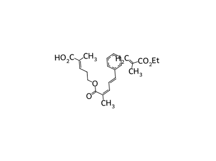 C=C(C)C(=O)OCC.CC(=CCCOC(=O)C(C)=CC=Cc1ccccc1)C(=O)O